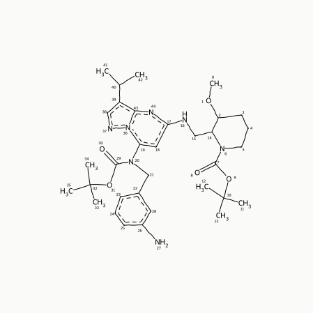 COC1CCCN(C(=O)OC(C)(C)C)C1CNc1cc(N(Cc2cccc(N)c2)C(=O)OC(C)(C)C)n2ncc(C(C)C)c2n1